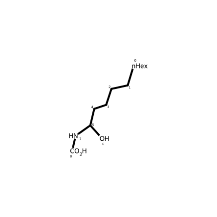 CCCCCCCCCCC(O)NC(=O)O